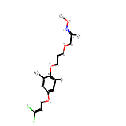 CCc1cc(OCC=C(Cl)Cl)cc(C)c1OCCCOCC(C)=NOC(C)(C)C